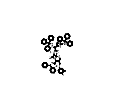 O=C(NC1C(=O)N2C(C(=O)OC(c3ccccc3)c3ccccc3)=C(COc3ccc(F)c(F)c3)CS[C@@H]12)C(=NOC(c1ccccc1)(c1ccccc1)c1ccccc1)c1csc(NC(c2ccccc2)(c2ccccc2)c2ccccc2)n1